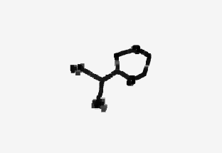 NC(N)C1COCCO1